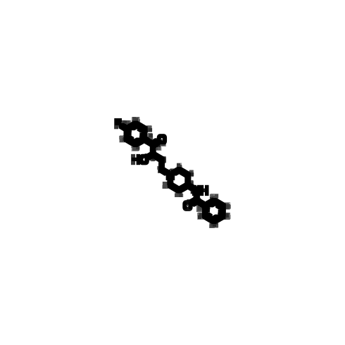 O=C(NC1CCN(CCC(O)C(=O)c2ccc(F)cc2)CC1)c1ccccc1